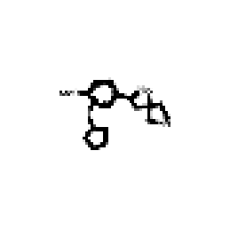 COc1ccc(C2=NOC3(CCNC3)C2)cc1OC1CCCC1